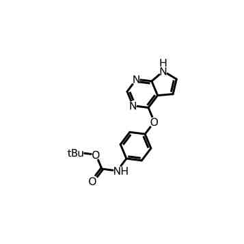 CC(C)(C)OC(=O)Nc1ccc(Oc2ncnc3[nH]ccc23)cc1